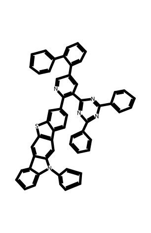 c1ccc(-c2nc(-c3ccccc3)nc(-c3cc(-c4ccccc4-c4ccccc4)cnc3-c3ccc4c(c3)sc3cc5c6ccccc6n(-c6ccccc6)c5cc34)n2)cc1